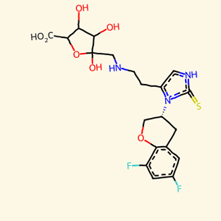 O=C(O)C1OC(O)(CNCCc2c[nH]c(=S)n2[C@H]2COc3c(F)cc(F)cc3C2)C(O)C1O